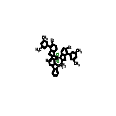 CCc1ccc2c(c1-c1cc(C)cc(C)c1)C=C(C)[CH]2[Zr]([Cl])([Cl])([c]1cccc2c1[SiH2]c1ccccc1-2)[CH]1C(C)=Cc2c1ccc(CC)c2-c1cc(C)cc(C)c1